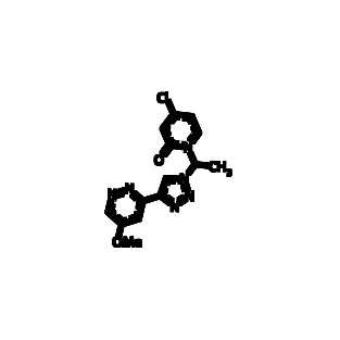 COc1cnnc(-c2cn(C(C)n3ccc(Cl)cc3=O)nn2)c1